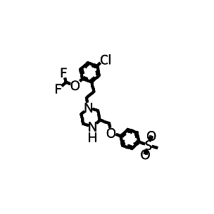 CS(=O)(=O)c1ccc(OCC2CN(CCc3cc(Cl)ccc3OC(F)F)CCN2)cc1